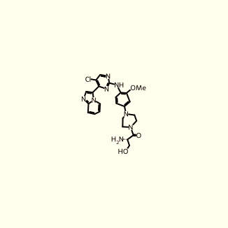 COc1cc(N2CCN(C(=O)[C@@H](N)CO)CC2)ccc1Nc1ncc(Cl)c(-c2cnc3ccccn23)n1